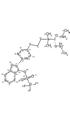 C[SiH2]OC(O[SiH2]C)C(C)(C)CCCc1cnc(-c2oc3cnccc3c2OS(=O)(=O)C(F)(F)F)nc1